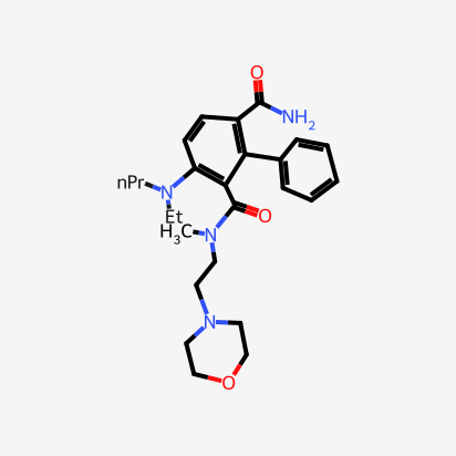 CCCN(CC)c1ccc(C(N)=O)c(-c2ccccc2)c1C(=O)N(C)CCN1CCOCC1